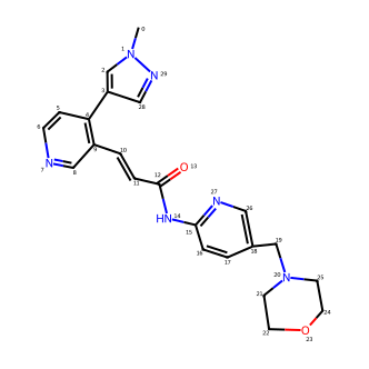 Cn1cc(-c2ccncc2/C=C/C(=O)Nc2ccc(CN3CCOCC3)cn2)cn1